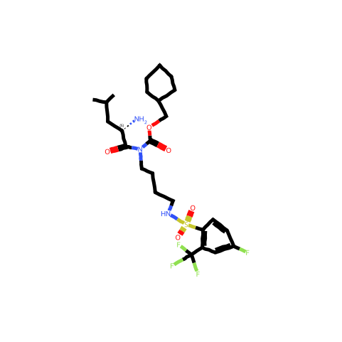 CC(C)C[C@H](N)C(=O)N(CCCCNS(=O)(=O)c1ccc(F)cc1C(F)(F)F)C(=O)OCC1CCCCC1